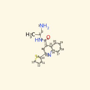 CC(CN)NC(=O)c1cc(-c2cccs2)nc2ccccc12